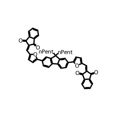 CCCCCC1(CCCCC)c2cc(-c3ccc(C=C4C(=O)c5ccccc5C4=O)o3)ccc2-c2ccc(-c3ccc(C=C4C(=O)c5ccccc5C4=O)o3)cc21